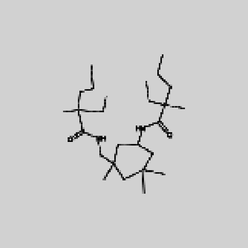 CCCC(C)(CC)C(=O)NCC1(C)CC(NC(=O)C(C)(CC)CCC)CC(C)(C)C1